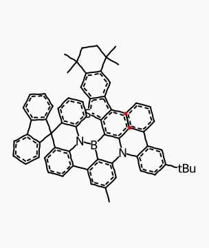 Cc1cc2c3c(c1)N(c1ccc(C(C)(C)C)cc1-c1ccccc1)c1ccc4c(sc5cc6c(cc54)C(C)(C)CCC6(C)C)c1B3N1c3ccccc3C3(c4ccccc4-c4ccccc43)c3cccc-2c31